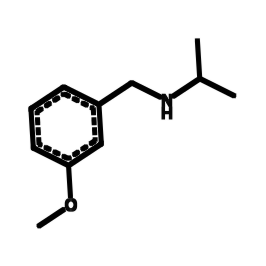 COc1cccc(CNC(C)C)c1